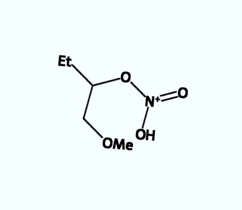 CCC(COC)O[N+](=O)O